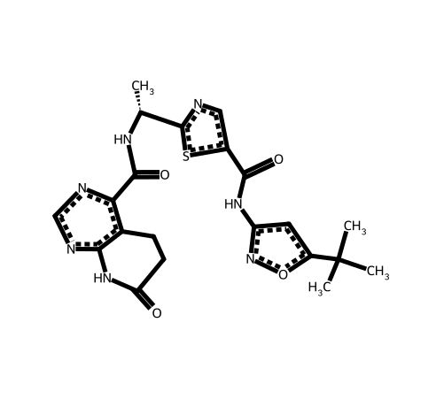 C[C@@H](NC(=O)c1ncnc2c1CCC(=O)N2)c1ncc(C(=O)Nc2cc(C(C)(C)C)on2)s1